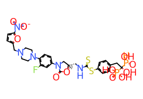 O=C1O[C@@H](CNC(=S)Sc2ccc(CC(O)([PH](=O)O)P(=O)(O)O)cc2)CN1c1ccc(N2CCN(Cc3ccc([N+](=O)[O-])o3)CC2)c(F)c1